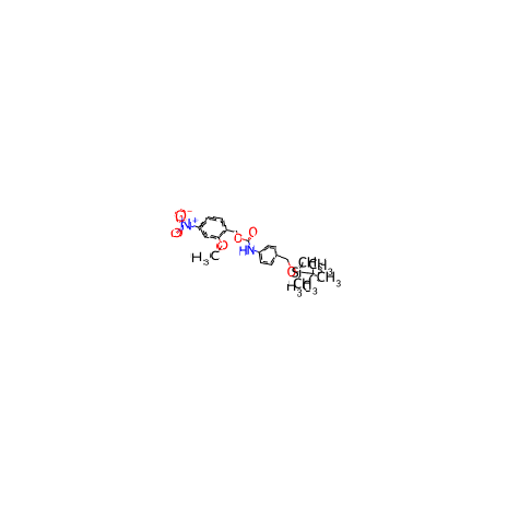 COc1cc([N+](=O)[O-])ccc1COC(=O)Nc1ccc(CO[Si](C)(C)C(C)(C)C)cc1